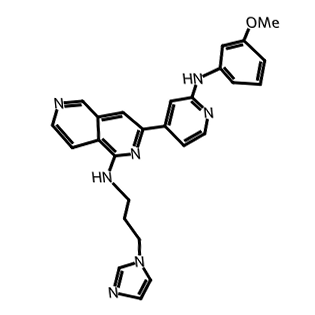 COc1cccc(Nc2cc(-c3cc4cnccc4c(NCCCn4ccnc4)n3)ccn2)c1